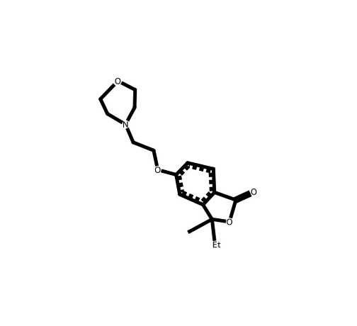 CCC1(C)OC(=O)c2ccc(OCCN3CCOCC3)cc21